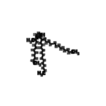 CCCCCCCCCCCCCC(CCCCCCCCCCCCC)c1[nH]cc[n+]1C(C)CCCCCCCCC